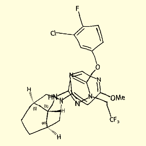 COc1cc(N2C[C@H]3CC[C@@H](C2)[C@@H]3Nc2nc(Oc3ccc(F)c(Cl)c3)n(CC(F)(F)F)n2)ccn1